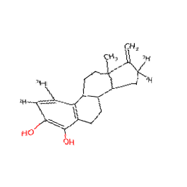 [2H]c1c([2H])c2c(c(O)c1O)CCC1C2CCC2(C)C(=C)C([2H])([2H])CC12